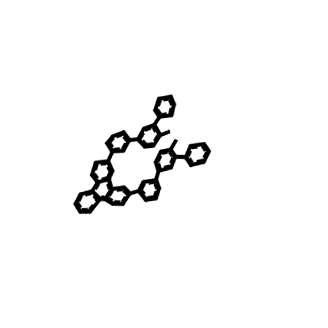 Cc1ccc(-c2cccc(-c3ccc4c5ccccc5c5ccc(-c6cccc(-c7ccc(C)c(-c8ccccc8)c7)c6)cc5c4c3)c2)cc1-c1ccccc1